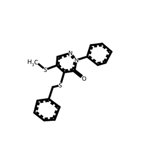 CSc1cnn(-c2ccccc2)c(=O)c1SCc1ccccc1